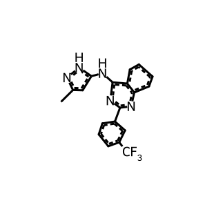 Cc1cc(Nc2nc(-c3cccc(C(F)(F)F)c3)nc3ccccc23)[nH]n1